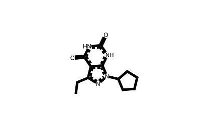 CCc1nn(C2CCCC2)c2[nH]c(=O)[nH]c(=O)c12